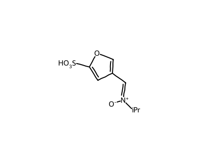 CC(C)[N+]([O-])=Cc1coc(S(=O)(=O)O)c1